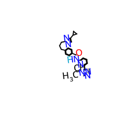 CC(C)n1cnnc1-c1cccc(NC(=O)c2cc3c(cc2F)CCCc2nc(C4CC4)cn2-3)n1